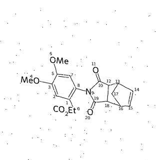 CCOC(=O)c1cc(OC)c(OC)cc1N1C(=O)C2C3C=CC(C3)C2C1=O